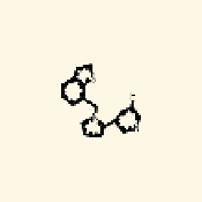 Fc1cncc(-c2cccn2Cc2cccc3ccsc23)c1